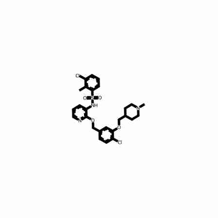 Cc1c(Cl)cccc1S(=O)(=O)Nc1cccnc1OCc1ccc(Cl)c(OCC2CCN(C)CC2)c1